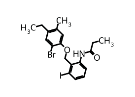 CCC(=O)Nc1cccc(I)c1COc1cc(C)c(CC)cc1Br